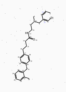 C/C=C\C(=C/CC)CN(C)CCNC(=O)CCCc1ccc(Cc2ccccc2C)cc1